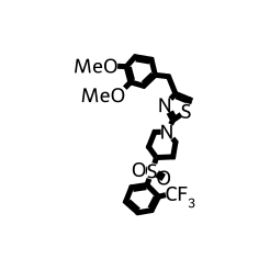 COc1ccc(Cc2csc(N3CCC(S(=O)(=O)c4ccccc4C(F)(F)F)CC3)n2)cc1OC